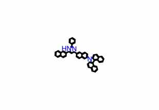 C1=C(c2ccc3ccccc3c2)NC(c2ccccc2)N=C1c1ccc2cc(-n3c4ccc5ccccc5c4c4c5ccccc5ccc43)ccc2c1